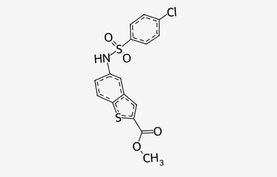 COC(=O)c1cc2cc(NS(=O)(=O)c3ccc(Cl)cc3)ccc2s1